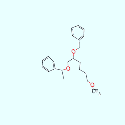 CC(OCC(CCCCOC(F)(F)F)OCc1ccccc1)c1ccccc1